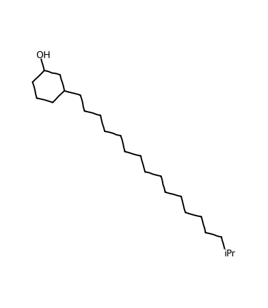 CC(C)CCCCCCCCCCCCCCCC1CCCC(O)C1